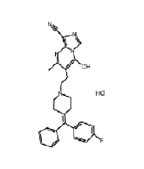 Cc1nc2c(C#N)ncn2c(O)c1CCN1CCC(=C(c2ccccc2)c2ccc(F)cc2)CC1.Cl